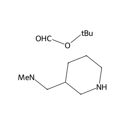 CC(C)(C)OC=O.CNCC1CCCNC1